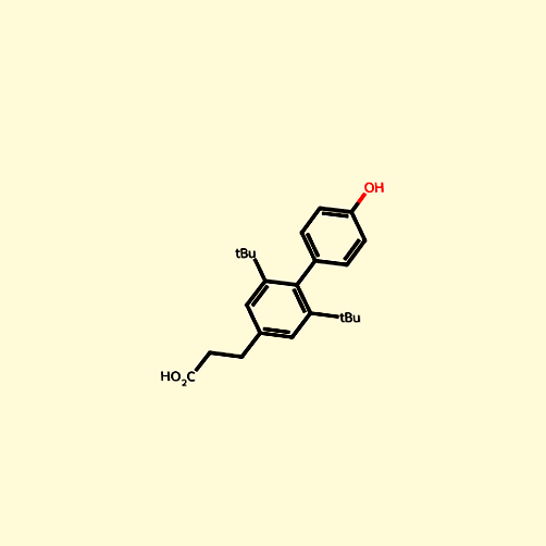 CC(C)(C)c1cc(CCC(=O)O)cc(C(C)(C)C)c1-c1ccc(O)cc1